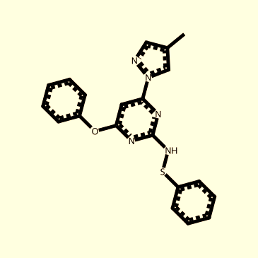 Cc1cnn(-c2cc(Oc3ccccc3)nc(NSc3ccccc3)n2)c1